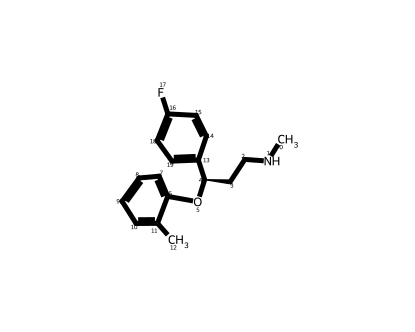 CNCC[C@@H](Oc1ccccc1C)c1ccc(F)cc1